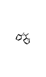 C[C](Sc1ccccc1)c1ccccn1